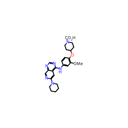 COc1cc(Nc2ncnc3cnc(N4CCCCC4)cc23)ccc1OC1CCN(C(=O)O)CC1